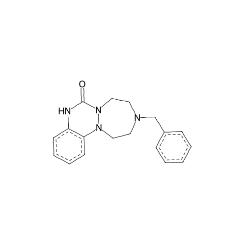 O=C1Nc2ccccc2N2CCN(Cc3ccccc3)CCN12